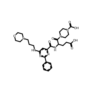 O=C(O)CCC(NC(=O)c1cc(NCCCN2CCOCC2)nc(-c2ccccc2)n1)C(=O)N1CCN(C(=O)O)CC1